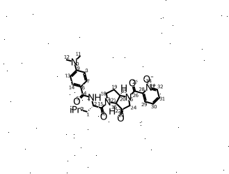 CC(C)C[C@H](NC(=O)c1ccc(N(C)C)cc1)C(=O)N1CC[C@@H]2[C@H]1C(=O)CN2C(=O)c1cccc[n+]1[O-]